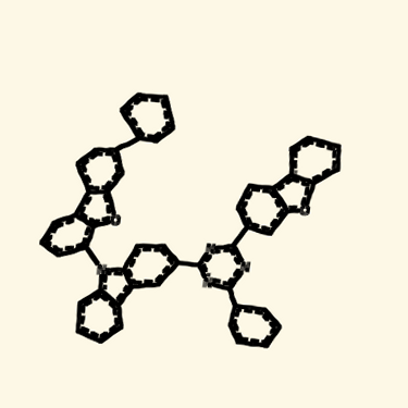 c1ccc(-c2ccc3c(c2)oc2c(-n4c5ccccc5c5cc(-c6nc(-c7ccccc7)nc(-c7ccc8c(c7)oc7ccccc78)n6)ccc54)cccc23)cc1